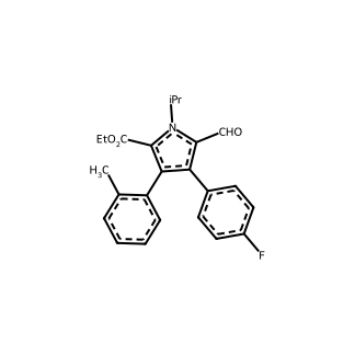 CCOC(=O)c1c(-c2ccccc2C)c(-c2ccc(F)cc2)c(C=O)n1C(C)C